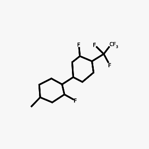 CC1CCC(C2CCC(C(F)(F)C(F)(F)F)C(F)C2)C(F)C1